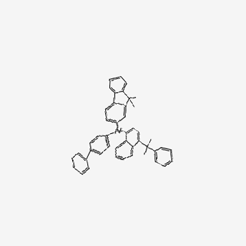 CC1(C)c2ccccc2-c2ccc(N(c3ccc(-c4ccccc4)cc3)c3ccc(C(C)(C)c4ccccc4)c4ccccc34)cc21